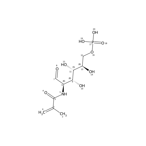 C=C(C)C(=O)N[C@@H](C=O)[C@@H](O)[C@H](O)[C@H](O)COP(=O)(O)O